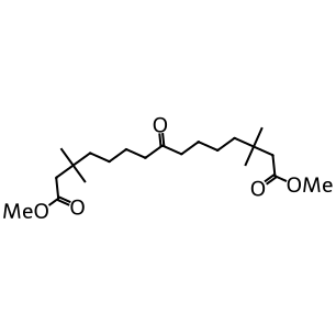 COC(=O)CC(C)(C)CCCCC(=O)CCCCC(C)(C)CC(=O)OC